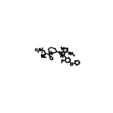 CC(C)(N)C=C(C#N)C(=O)N1CCCC(n2nc(-c3ccc(Oc4ccccc4)cc3F)c3c(N)ncnc32)C1